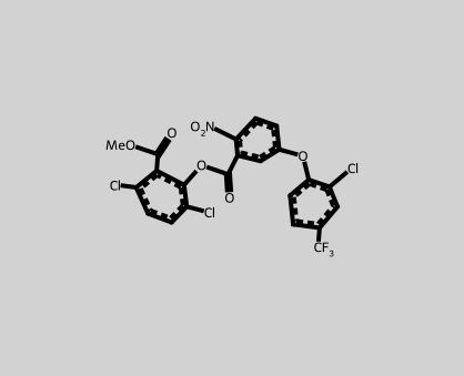 COC(=O)c1c(Cl)ccc(Cl)c1OC(=O)c1cc(Oc2ccc(C(F)(F)F)cc2Cl)ccc1[N+](=O)[O-]